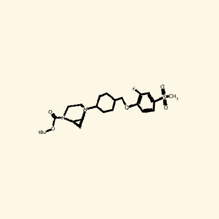 CC(C)(C)OC(=O)N1CCN(C2CCC(COc3ccc(S(C)(=O)=O)cc3F)CC2)C2CC21